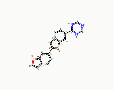 c1ncnc(-c2ccc3cc(-c4ccc5ccoc5c4)sc3c2)n1